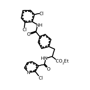 CCOC(=O)C(Cc1ccc(C(=O)Nc2c(Cl)cccc2Cl)cc1)NC(=O)c1cccnc1Cl